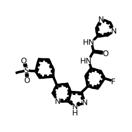 CS(=O)(=O)c1cccc(-c2cnc3[nH]nc(-c4cc(F)cc(NC(=O)Nc5cncnc5)c4)c3c2)c1